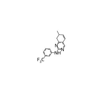 CC1C=Cc2cnc(Nc3cccc(C(F)(F)F)c3)nc2C1